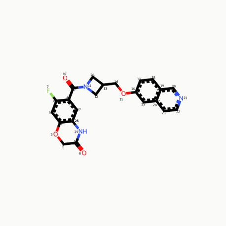 O=C1COc2cc(F)c(C(=O)N3CC(COc4ccc5cnccc5c4)C3)cc2N1